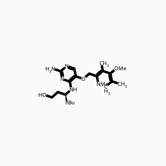 CCCC[C@@H](CCO)Nc1nc(N)ncc1OC/C(NC)=C(\C)C(OC)=C(C)C